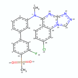 CN(c1cccc(-c2ccc(S(C)(=O)=O)c(F)c2)c1)c1nc2nncn2c2cc(Cl)ccc12